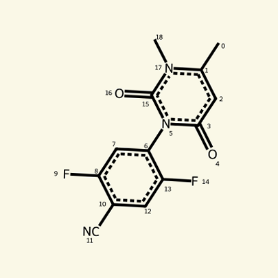 Cc1cc(=O)n(-c2cc(F)c(C#N)cc2F)c(=O)n1C